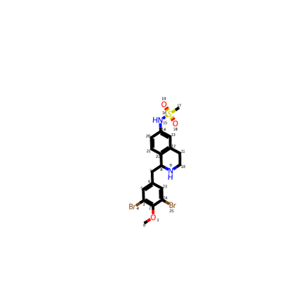 COc1c(Br)cc(CC2NCCc3cc(NS(C)(=O)=O)ccc32)cc1Br